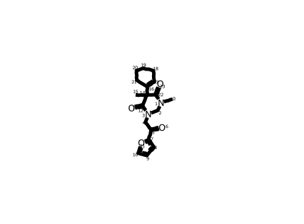 CN1CN(CC(=O)c2ccco2)C(=O)C(C)(C2=CCCCC2)C1=O